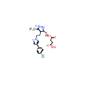 Cc1n[nH]c(C)c1CCn1cc(-c2ccc(Cl)cc2)cn1.O=C(O)CCC(=O)O